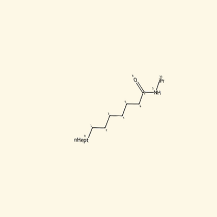 CCCCCCCCCCCCCC(=O)NC(C)C